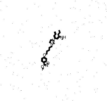 C=C/C=C(\C=C(/CCC)NC)N1CCN(CCCCCOc2ccc3c(OF)noc3c2)S1